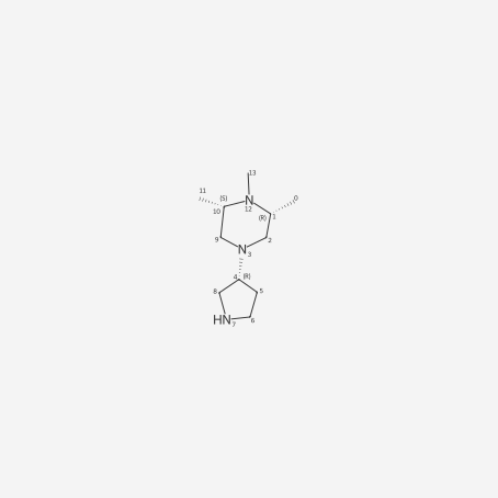 C[C@@H]1CN([C@@H]2CCNC2)C[C@H](C)N1C